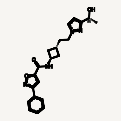 C[C@@H](O)c1ccn(CC[C@H]2C[C@H](NC(=O)c3cc(-c4ccccc4)no3)C2)n1